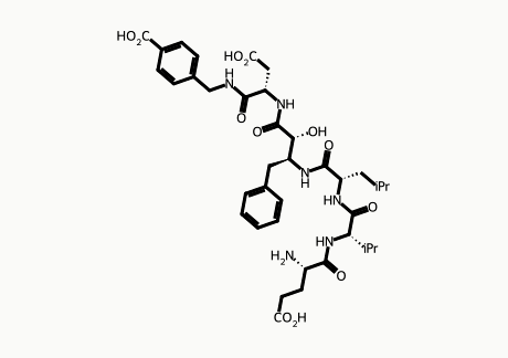 CC(C)C[C@H](NC(=O)[C@@H](NC(=O)[C@@H](N)CCC(=O)O)C(C)C)C(=O)N[C@@H](Cc1ccccc1)[C@@H](O)C(=O)N[C@@H](CC(=O)O)C(=O)NCc1ccc(C(=O)O)cc1